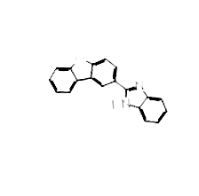 c1ccc2[nH]c(-c3ccc4oc5ccccc5c4c3)nc2c1